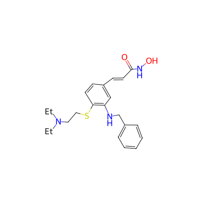 CCN(CC)CCSc1ccc(C=CC(=O)NO)cc1NCc1ccccc1